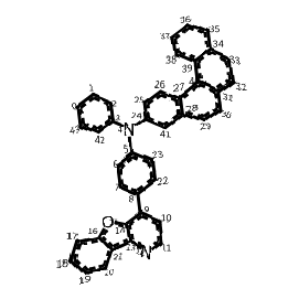 c1ccc(N(c2ccc(-c3ccnc4c3oc3ccccc34)cc2)c2ccc3c(ccc4ccc5ccccc5c43)c2)cc1